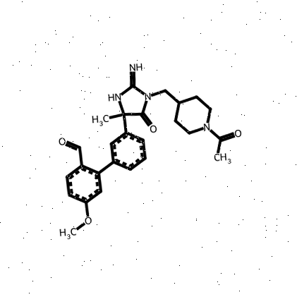 COc1ccc(C=O)c(-c2cccc(C3(C)NC(=N)N(CC4CCN(C(C)=O)CC4)C3=O)c2)c1